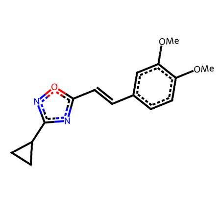 COc1ccc(/C=C/c2nc(C3CC3)no2)cc1OC